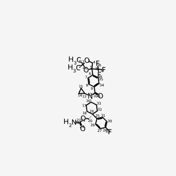 CC1(C)OCC(c2ccc(C(=O)N(C3CC3)[C@H]3CC[C@](COC(N)=O)(c4ccc(F)cc4)CC3)cc2)(C(F)(F)F)O1